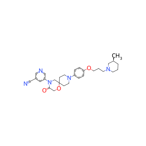 C[C@H]1CCCN(CCCOc2ccc(N3CCC4(CC3)CN(c3cncc(C#N)c3)C(=O)CO4)cc2)C1